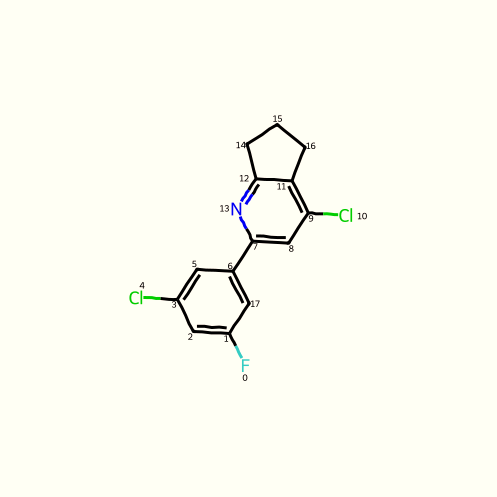 Fc1cc(Cl)cc(-c2cc(Cl)c3c(n2)CCC3)c1